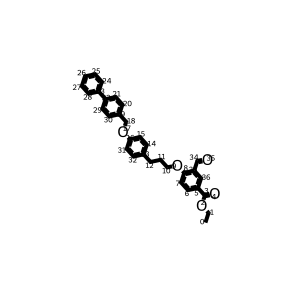 CCOC(=O)c1ccc(OCCCc2ccc(OCc3ccc(-c4ccccc4)cc3)cc2)c(C=O)c1